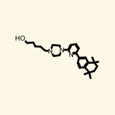 CC1(C)CCC(C)(C)c2cc(-c3cccc(N4CCN(CCCCCO)CC4)n3)ccc21